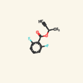 C#CC(C)OC(=O)c1c(F)cccc1F